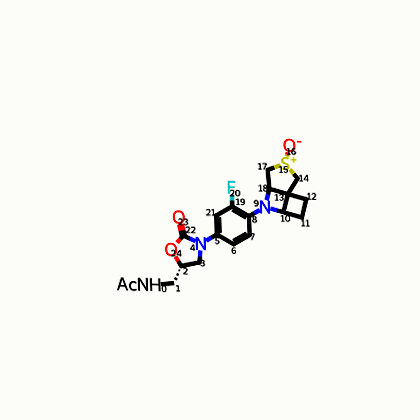 CC(=O)NC[C@H]1CN(c2ccc(N3C4CCC45C[S+]([O-])CC35)c(F)c2)C(=O)O1